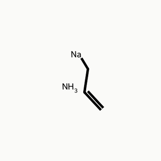 C=C[CH2][Na].N